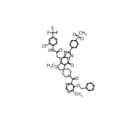 Cc1ncnc(C(=O)N2CCC3(CC2)C[C@@H](C)c2c3c(=O)n3nc(-c4ccc(S(C)(=O)=O)cc4)nc3n2CC(=O)Nc2ccc(C(F)(F)F)cc2Cl)c1OCc1ccccc1